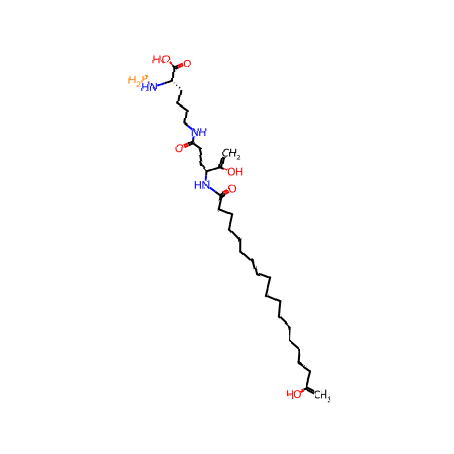 C=C(O)CCCCCCCCCCCCCCCCC(=O)N[C@@H](CCC(=O)NCCCC[C@H](NP)C(=O)O)C(=C)O